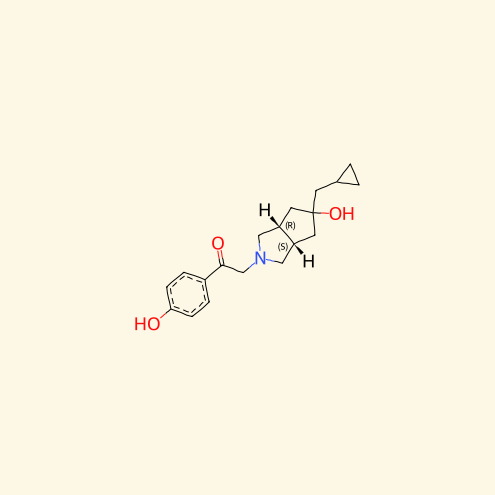 O=C(CN1C[C@@H]2CC(O)(CC3CC3)C[C@@H]2C1)c1ccc(O)cc1